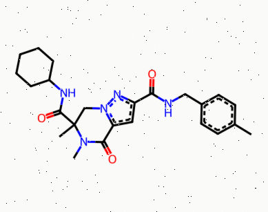 Cc1ccc(CNC(=O)c2cc3n(n2)CC(C)(C(=O)NC2CCCCC2)N(C)C3=O)cc1